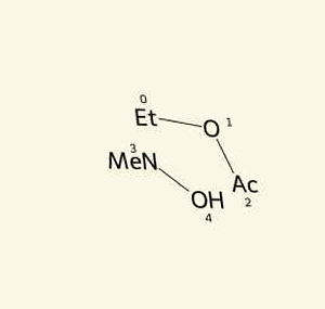 CCOC(C)=O.CNO